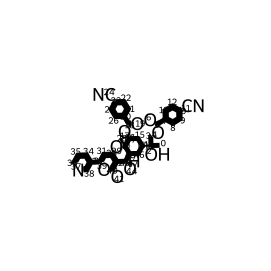 CC(O)(COC(=O)c1ccc(C#N)cc1)[C@@H]1C[C@H](OC(=O)c2ccc(C#N)cc2)[C@@]2(C)Oc3cc(-c4cccnc4)oc(=O)c3C(=O)[C@@H]2C1